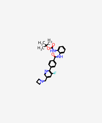 CC(C)(C)OC(=O)Nc1ccccc1NC(=O)c1ccc(-c2ncc(CN3CCC3)cc2F)cc1